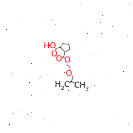 C=C(C)COCCOC(=O)C1CCCC1C(=O)O